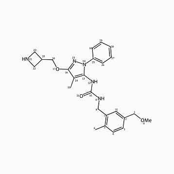 COCc1ccc(C)c(CNC(=O)Nc2c(C)c(OCC3CNC3)nn2-c2ccccc2)c1